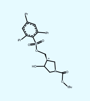 CC(C)c1cc(C(C)C)c(S(=O)(=O)OC[C@H]2CN(C(=O)OC(C)(C)C)CC2O)c(C(C)C)c1